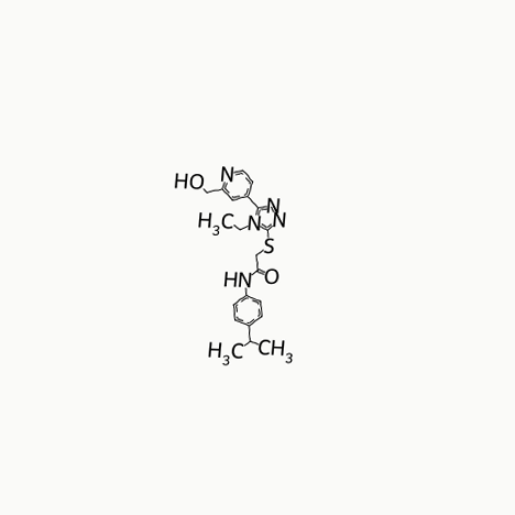 CCn1c(SCC(=O)Nc2ccc(C(C)C)cc2)nnc1-c1ccnc(CO)c1